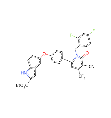 CCOC(=O)c1cc2cc(Oc3ccc(-c4cc(C(F)(F)F)c(C#N)c(=O)n4Cc4ccc(F)cc4F)cc3)ccc2[nH]1